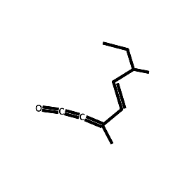 CCC(C)C=CC(C)=C=C=O